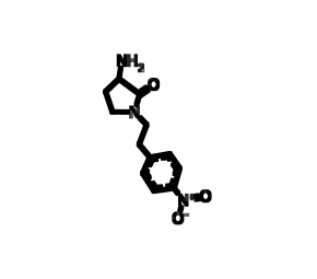 NC1CCN(CCc2ccc([N+](=O)[O-])cc2)C1=O